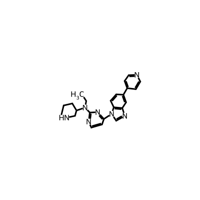 CCN(c1nccc(-n2cnc3cc(-c4ccncc4)ccc32)n1)C1CCCNC1